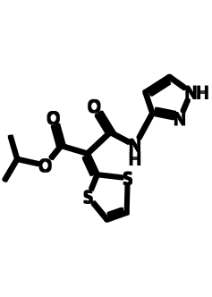 CC(C)OC(=O)C(C(=O)Nc1cc[nH]n1)=C1SC=CS1